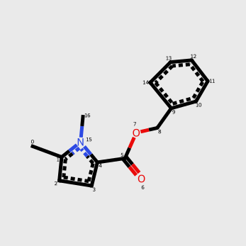 Cc1ccc(C(=O)OCc2ccccc2)n1C